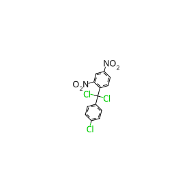 O=[N+]([O-])c1ccc(C(Cl)(Cl)c2ccc(Cl)cc2)c([N+](=O)[O-])c1